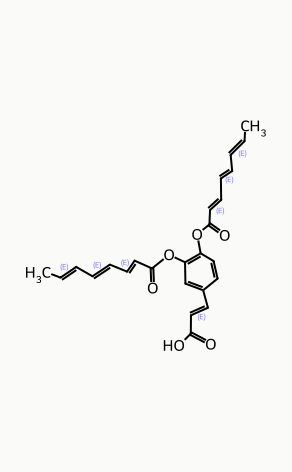 C/C=C/C=C/C=C/C(=O)Oc1ccc(/C=C/C(=O)O)cc1OC(=O)/C=C/C=C/C=C/C